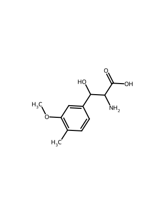 COc1cc(C(O)C(N)C(=O)O)ccc1C